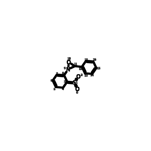 O=S(=O)=C1CC=CC=C1N1OC1c1ccccc1